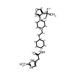 Cc1ncc(CC(=O)N[C@H]2CC[C@H](CCN3CCN(c4nocc4C(C)(F)F)CC3)CC2)s1